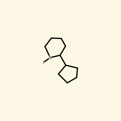 IN1CCCCC1C1CCCC1